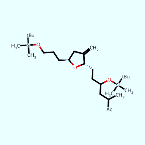 C=C1C[C@H](CCCO[Si](C)(C)C(C)(C)C)O[C@H]1CCC(CC(C)C(C)=O)O[Si](C)(C)C(C)(C)C